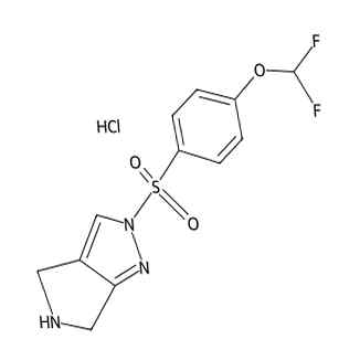 Cl.O=S(=O)(c1ccc(OC(F)F)cc1)n1cc2c(n1)CNC2